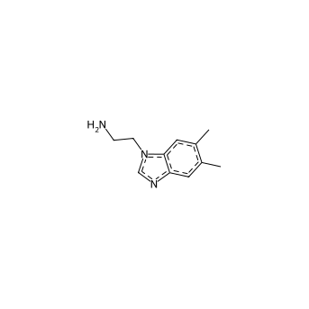 Cc1cc2ncn(CCN)c2cc1C